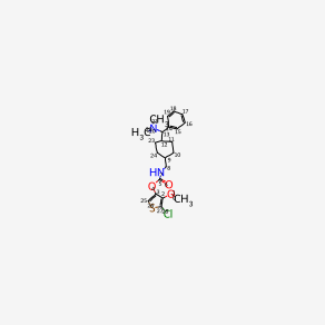 COc1c(OC(=O)NCC2CCC(C(c3ccccc3)N(C)C)CC2)csc1Cl